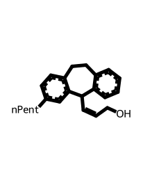 CCCCCc1ccc2c(c1)C(/C=C\CO)c1ccccc1CC2